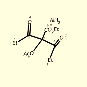 CCOC(=O)C(OC(C)=O)(C(=O)CC)C(=O)CC.[AlH3]